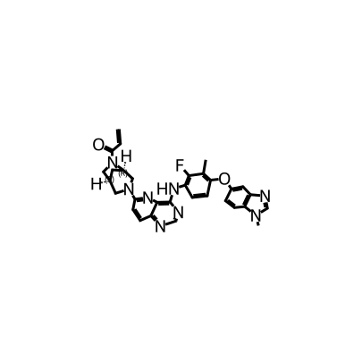 C=CC(=O)N1C[C@H]2C[C@@H]1CN(c1ccc3ncnc(Nc4ccc(Oc5ccc6c(c5)ncn6C)c(C)c4F)c3n1)C2